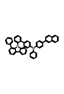 c1ccc(-c2cccc3c4ccccc4n(-c4ccccc4-c4ccc(N(c5ccccc5)c5ccc(-c6ccc7ccccc7c6)cc5)cc4)c23)cc1